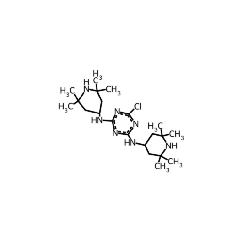 CC1(C)CC(Nc2nc(Cl)nc(NC3CC(C)(C)NC(C)(C)C3)n2)CC(C)(C)N1